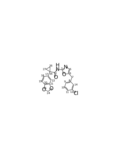 O=C(Nc1ncc(Cc2cccc(Cl)c2)o1)C1(c2ccc3c(c2)OCO3)CC1